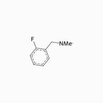 C[N]Cc1ccccc1F